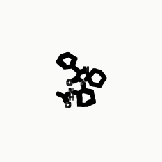 CC(=O)Nc1ccccc1N1C(=O)C(c2ccccc2)=NC12CCCCC2